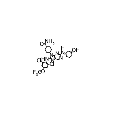 NC(=O)[C@H]1CC[C@@H](n2c(Nc3c(Cl)cc(OC(F)(F)F)cc3Cl)nc3cnc(N[C@@H]4CCC[C@H](O)C4)nc32)CC1